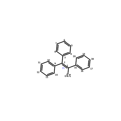 CC/C(=C(/c1cc[c]cc1)c1ccccc1)c1ccccc1